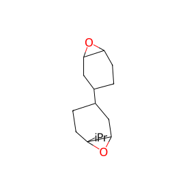 CC(C)C12CCC(C3CCC4OC4C3)CC1O2